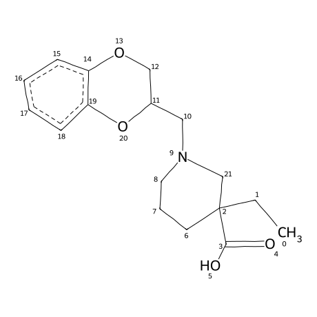 CCC1(C(=O)O)CCCN(CC2COc3ccccc3O2)C1